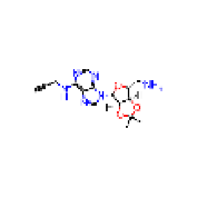 C#CCNc1ncnc2c1ncn2[C@@H]1O[C@H](CN)[C@H]2OC(C)(C)O[C@H]21